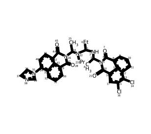 CCC(NC(C)N1C(=O)c2cccc3c(Cl)c(Cl)cc(c23)C1=O)N(C(C)C)C(C)N1C(=O)c2cccc3c(-n4ccnc4)ccc(c23)C1=O